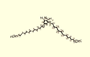 CCCCCCCCCCCCCCCCCCCCCCOc1ccc(C)c(OCCCCCCCCCCCCCCCCCCCCCC)c1.N